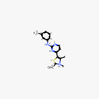 CC1=C(c2ccnc(Nc3cccc(C(F)(F)F)c3)n2)SC(C=O)N1C